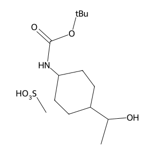 CC(O)C1CCC(NC(=O)OC(C)(C)C)CC1.CS(=O)(=O)O